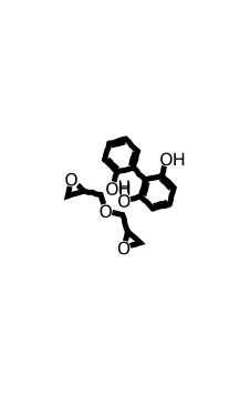 C(OCC1CO1)C1CO1.Oc1ccccc1-c1c(O)cccc1O